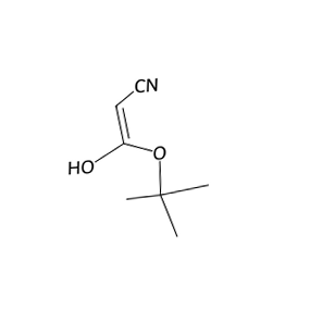 CC(C)(C)O/C(O)=C\C#N